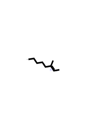 [CH2]CCCC/C(C)=C/C